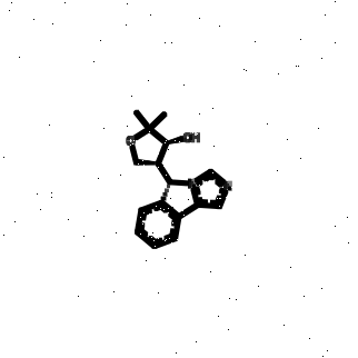 CC1(C)OC[C@H]([C@H]2c3ccccc3-c3cncn32)[C@@H]1O